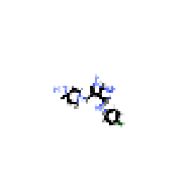 CC1(N)CCN(Cc2c[nH]c3[nH]nc(Nc4ccc(Cl)cc4)c23)CC1